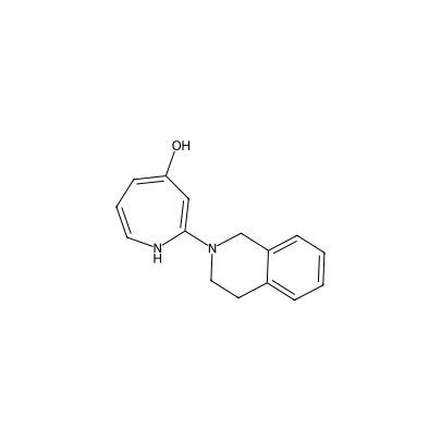 OC1=CC=CNC(N2CCc3ccccc3C2)=C1